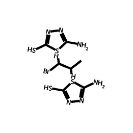 CC(C(Br)[SH]1C(N)=NN=C1S)[SH]1C(N)=NN=C1S